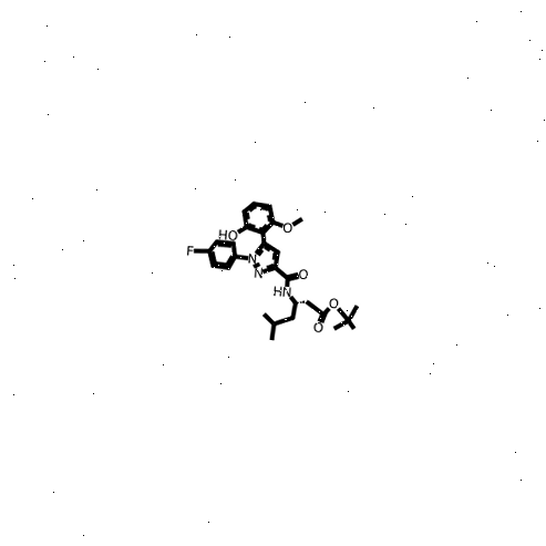 COc1cccc(O)c1-c1cc(C(=O)N[C@H](CC(=O)OC(C)(C)C)CC(C)C)nn1C1=C=C=C(F)C=C1